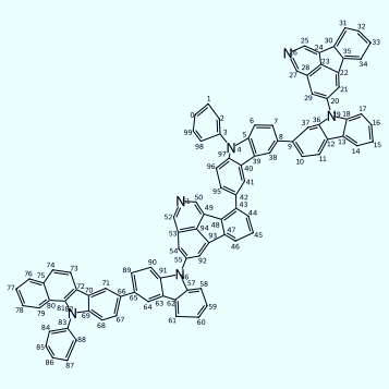 c1ccc(-n2c3ccc(-c4ccc5c6ccccc6n(-c6cc7c8c(cncc8c6)-c6ccccc6-7)c5c4)cc3c3cc(-c4cccc5c4-c4cncc6cc(-n7c8ccccc8c8cc(-c9ccc%10c(c9)c9ccc%11ccccc%11c9n%10-c9ccccc9)ccc87)cc-5c46)ccc32)cc1